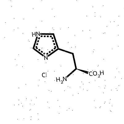 N[C@@H](Cc1c[nH]cn1)C(=O)O.[C]